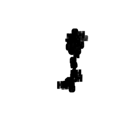 COc1cccc(Nc2c(C(N)=O)cnc3c(C)cc(S(=O)(=O)c4cccc(C(=O)N(C)CCOc5ccc(CCNC[C@H](O)c6ccc(O)c7[nH]c(=O)ccc67)cc5)c4)cc23)c1